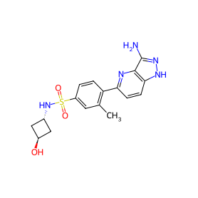 Cc1cc(S(=O)(=O)N[C@H]2C[C@H](O)C2)ccc1-c1ccc2[nH]nc(N)c2n1